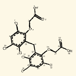 O=C(O)COc1c(Cl)cc(Cl)c(Cl)c1Cc1c(Cl)c(Cl)cc(Cl)c1OCC(=O)O